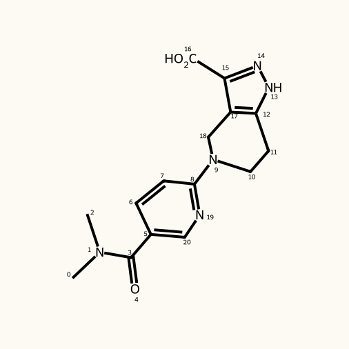 CN(C)C(=O)c1ccc(N2CCc3[nH]nc(C(=O)O)c3C2)nc1